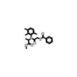 COC(=O)C(C)N(C(=O)CSC(=O)c1ccccc1)c1c(C)ccc(C)c1C